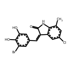 Cc1cc(Cl)cc2c1NC(=O)/C2=C\c1cc(O)c(O)c(Br)c1